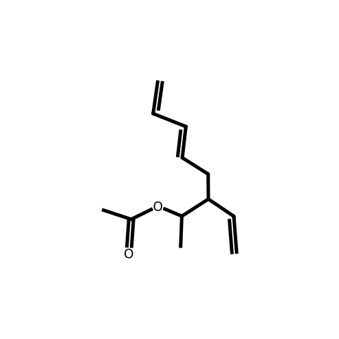 C=C/C=C/CC(C=C)C(C)OC(C)=O